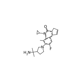 Cc1c(N2CCC(C(C)(C)N)C2)c(F)cc2c3c(c(=O)n(C4CC4)c12)CC=C3